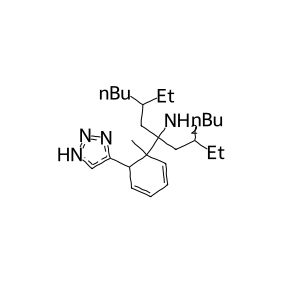 CCCCC(CC)CC(N)(CC(CC)CCCC)C1(C)C=CC=CC1c1c[nH]nn1